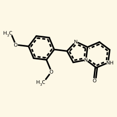 COc1ccc(-c2cn3c(=O)[nH]ccc3n2)c(OC)c1